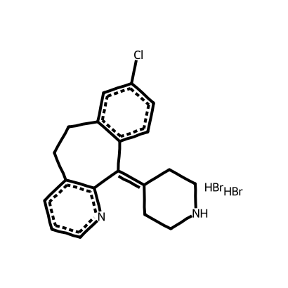 Br.Br.Clc1ccc2c(c1)CCc1cccnc1C2=C1CCNCC1